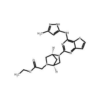 CCOC(=O)CN1C[C@@H]2C[C@H]1CN2c1nc(Nc2cc(C)n[nH]2)c2sccc2n1